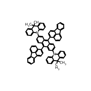 CC1(C)c2ccccc2N(c2ccc3c(-c4ccc5c6c(cccc46)-c4ccccc4-5)c4cc(N5c6ccccc6C(C)(C)c6ccccc65)ccc4c(-c4ccc5c6c(cccc46)-c4ccccc4-5)c3c2)c2ccccc21